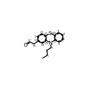 CCCCN1c2ccccc2Sc2ccc(CC=O)cc21